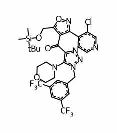 CC(C)(C)[Si](C)(C)OCc1onc(-c2ccncc2Cl)c1C(=O)c1nnn(Cc2cc(C(F)(F)F)cc(C(F)(F)F)c2)c1N1CCOCC1